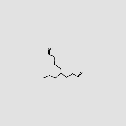 C=CCCC(CCC)CCCC=N